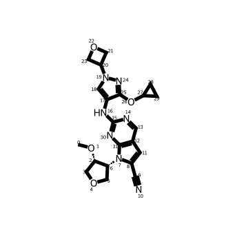 CO[C@H]1COC[C@H]1n1c(C#N)cc2cnc(Nc3cn(C4COC4)nc3OC3CC3)nc21